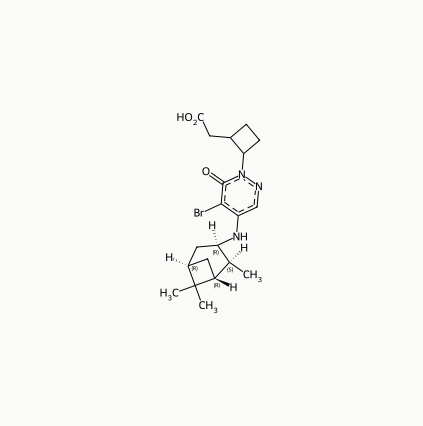 C[C@H]1[C@H]2C[C@H](C[C@H]1Nc1cnn(C3CCC3CC(=O)O)c(=O)c1Br)C2(C)C